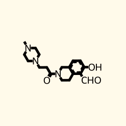 CN1CCN(CCC(=O)N2CCc3c(ccc(O)c3C=O)C2)CC1